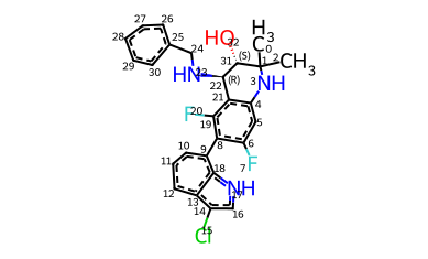 CC1(C)Nc2cc(F)c(-c3cccc4c(Cl)c[nH]c34)c(F)c2[C@@H](NCc2ccccc2)[C@@H]1O